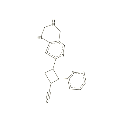 N#CC1CC(c2cc3c(cn2)CNCN3)C1c1ccccn1